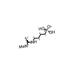 CNC(=S)NCCCCP(=O)(O)O